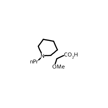 CCCN1CCCCC1.COCC(=O)O